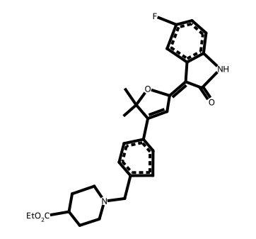 CCOC(=O)C1CCN(Cc2ccc(C3=C/C(=C4\C(=O)Nc5ccc(F)cc54)OC3(C)C)cc2)CC1